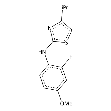 COc1ccc(Nc2nc(C(C)C)cs2)c(F)c1